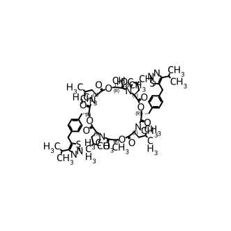 CC(C)C[C@H]1C(=O)O[C@H](Cc2ccc(Cc3snnc3C(C)C)cc2)C(=O)N(C)[C@@H](CC(C)C)C(=O)O[C@H](C)C(=O)N(C)[C@@H](CC(C)C)C(=O)O[C@H](Cc2ccc(Cc3snnc3C(C)C)cc2)C(=O)N(C)[C@@H](CC(C)C)C(=O)O[C@H](C)C(=O)N1C